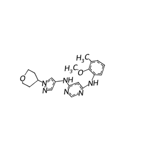 COc1c(C)cccc1Nc1cc(Nc2cnn(C3CCOCC3)c2)ncn1